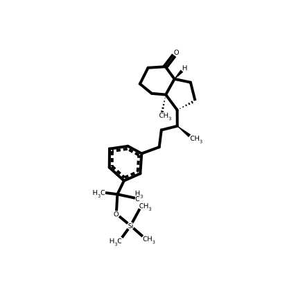 C[C@@H](CCc1cccc(C(C)(C)O[Si](C)(C)C)c1)[C@H]1CC[C@H]2C(=O)CCC[C@]12C